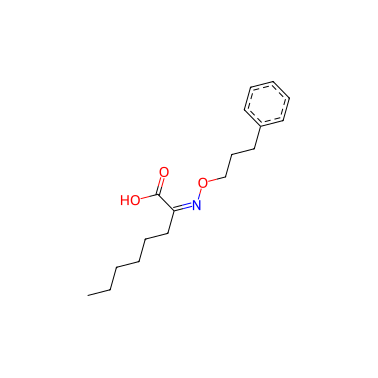 CCCCCCC(=NOCCCc1ccccc1)C(=O)O